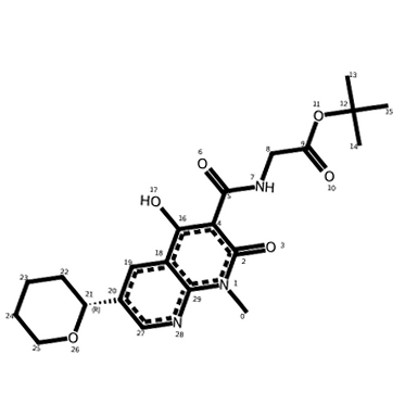 Cn1c(=O)c(C(=O)NCC(=O)OC(C)(C)C)c(O)c2cc([C@H]3CCCCO3)cnc21